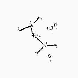 C[N](C)[Ti+2][N](C)C.Cl.[Cl-].[Cl-]